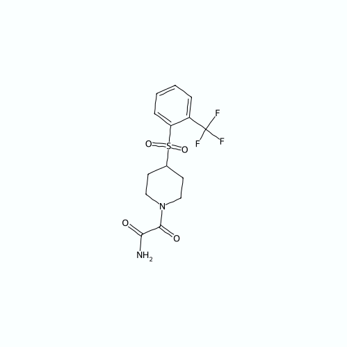 NC(=O)C(=O)N1CCC(S(=O)(=O)c2ccccc2C(F)(F)F)CC1